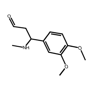 CNC(CC=O)c1ccc(OC)c(OC)c1